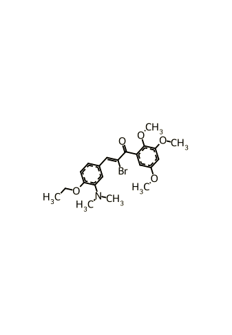 CCOc1ccc(C=C(Br)C(=O)c2cc(OC)cc(OC)c2OC)cc1N(C)C